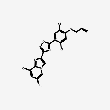 C=CCOc1cc(Cl)c(-c2nc(-c3cn4cc(C(F)(F)F)cc(Cl)c4n3)no2)cc1Cl